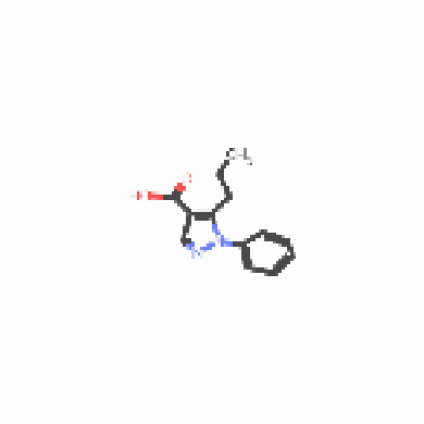 CCCc1c(C(=O)O)cnn1-c1ccccc1